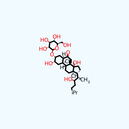 CC(C)CC[C@@H](O)[C@@H](C)[C@H]1CC[C@@]2(O)C3=CC(=O)[C@@H]4C[C@@H](O[C@@H]5O[C@H](CO)[C@@H](O)[C@H](O)[C@H]5O)[C@@H](O)C[C@]4(C)[C@H]3CC[C@]12C